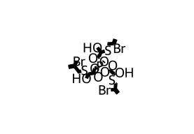 C=C(Br)CSC(O)C(=O)OP(OC(=O)C(O)SCC(=C)Br)OC(=O)C(O)SCC(=C)Br